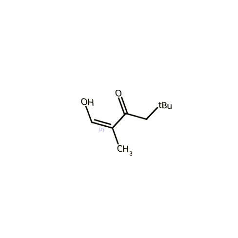 C/C(=C/O)C(=O)CC(C)(C)C